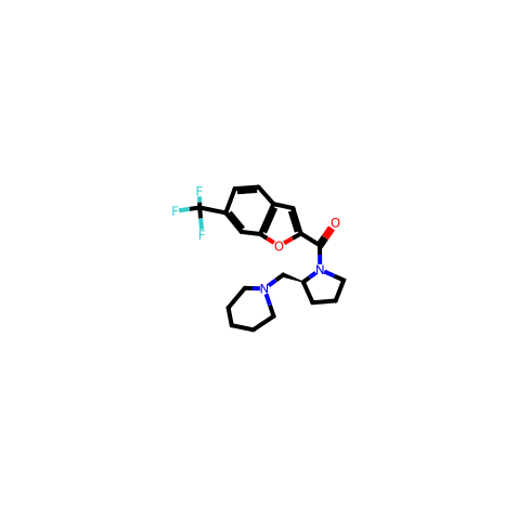 O=C(c1cc2ccc(C(F)(F)F)cc2o1)N1CCC[C@H]1CN1CCCCC1